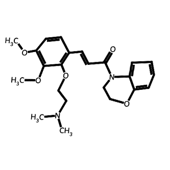 COc1ccc(C=CC(=O)N2CCOc3ccccc32)c(OCCN(C)C)c1OC